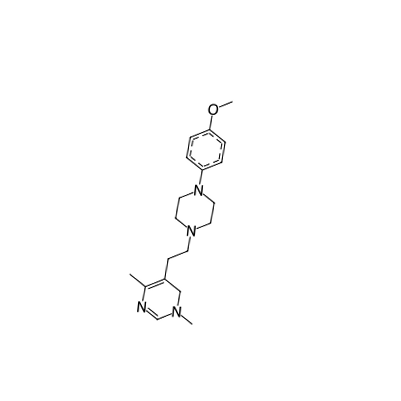 COc1ccc(N2CCN(CCC3=C(C)N=CN(C)C3)CC2)cc1